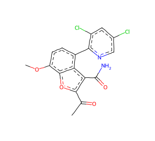 COc1ccc(-c2ncc(Cl)cc2Cl)c2c(C(N)=O)c(C(C)=O)oc12